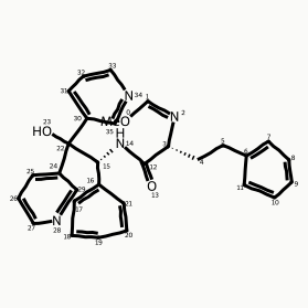 CO/C=N\[C@H](CCc1ccccc1)C(=O)N[C@H](c1ccccc1)C(O)(c1cccnc1)c1cccnc1